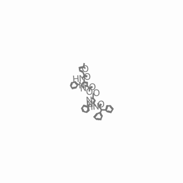 Cc1ccc(C(=O)Nc2cc(C(=O)OC(=O)c3cc(NC(=O)C(c4ccccc4)c4ccccc4)n(-c4ccccc4)n3)nn2-c2ccccc2)o1